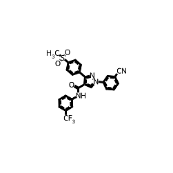 CS(=O)(=O)c1ccc(-c2nn(-c3cccc(C#N)c3)cc2C(=O)Nc2cccc(C(F)(F)F)c2)cc1